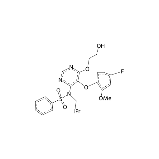 COc1cc(F)ccc1Oc1c(OCCO)ncnc1N(CC(C)C)S(=O)(=O)c1ccccc1